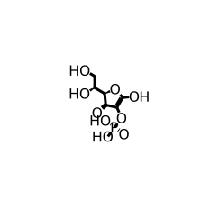 O=C1C(OP(=O)(O)O)=C(O)O[C@@H]1[C@@H](O)CO